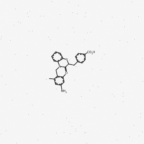 Cc1cc(N)cc(C)c1CN1C(=O)C(Cc2ccc(C(=O)O)cc2)Sc2ccccc21